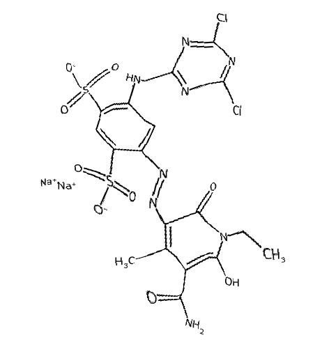 CCn1c(O)c(C(N)=O)c(C)c(N=Nc2cc(Nc3nc(Cl)nc(Cl)n3)c(S(=O)(=O)[O-])cc2S(=O)(=O)[O-])c1=O.[Na+].[Na+]